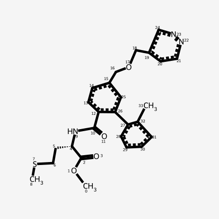 COC(=O)[C@H](CCSC)NC(=O)c1ccc(COCc2ccnnc2)cc1-c1ccccc1C